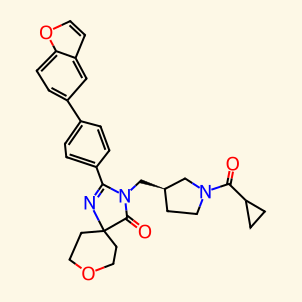 O=C(C1CC1)N1CC[C@@H](CN2C(=O)C3(CCOCC3)N=C2c2ccc(-c3ccc4occc4c3)cc2)C1